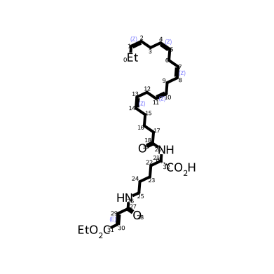 CC/C=C\C/C=C\C/C=C\C/C=C\C/C=C\CCCC(=O)N[C@@H](CCCCNC(=O)/C=C/C(=O)OCC)C(=O)O